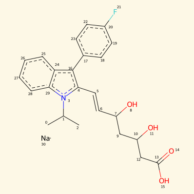 CC(C)n1c(C=CC(O)CC(O)CC(=O)O)c(-c2ccc(F)cc2)c2ccccc21.[Na]